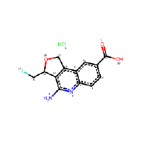 Cl.Nc1nc2ccc(C(=O)O)cc2c2c1C(CF)OC2